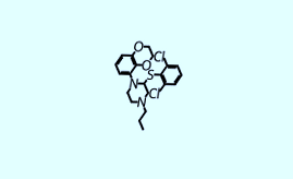 CCCN1CCN(c2cccc3c2OCCO3)C(Sc2c(Cl)cccc2Cl)C1